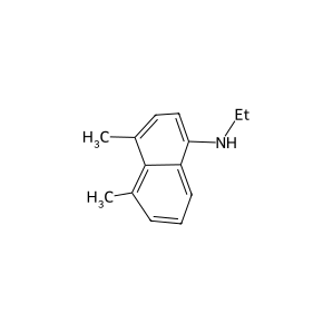 CCNc1ccc(C)c2c(C)cccc12